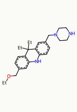 CCOCc1ccc2c(c1)Nc1ccc(CN3CCNCC3)cc1C2(CC)CC